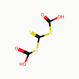 O=C(O)SC(=S)SC(=O)O